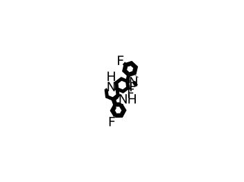 CN(C)C1(c2cccc(F)c2)CCC2(CC1(F)F)NCCc1c2[nH]c2ccc(F)cc12